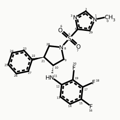 Cn1cnc(S(=O)(=O)N2C[C@H](Nc3ccc(F)c(F)c3F)[C@@H](c3ccccc3)C2)c1